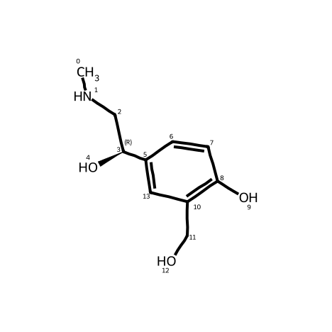 CNC[C@H](O)c1ccc(O)c(CO)c1